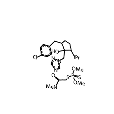 CC(C)C1CCC(Cc2ccc(Cl)cc2)C1(O)Cn1cncn1.CNC(=O)CSP(=S)(OC)OC